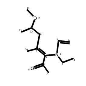 C=CN(CC)/C(C(C)=O)=C(/C)CC(C)OC